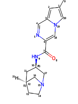 N#Cc1cc2cnc(C(=O)N[C@@H]3C[C@@H]4CCN(C4)C3)cn2c1